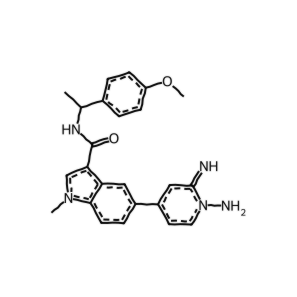 COc1ccc(C(C)NC(=O)c2cn(C)c3ccc(-c4ccn(N)c(=N)c4)cc23)cc1